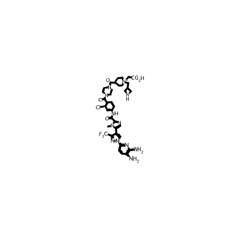 Cn1c(-c2cn(-c3ccc(N)c(N)n3)nc2C(F)(F)F)cnc1C(=O)Nc1ccc(C(=O)N2CCN(C(=O)C3CC[N+](CC(=O)O)(CC4CNC4)CC3)CC2)c(Cl)c1